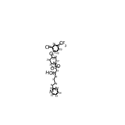 O=S(=O)(CN(O)CCCCc1ncccn1)N1CCC(Oc2ccc(C(F)(F)F)cc2Cl)CC1